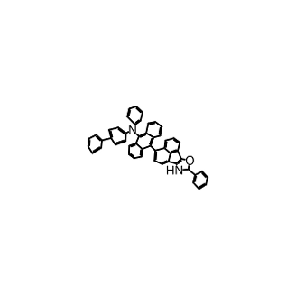 c1ccc(-c2ccc(N(c3ccccc3)c3c4ccccc4c(-c4ccc5c6c(cccc46)C4=C5NC(c5ccccc5)O4)c4ccccc34)cc2)cc1